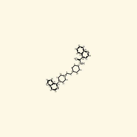 O=C(N[C@H]1CC[C@H](CCN2CCN(c3nccc4occc34)CC2)CC1)c1ccnc2ccccc12